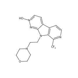 O[n+]1ccc2c3ccnc(C(F)(F)F)c3n(CCN3CCOCC3)c2n1